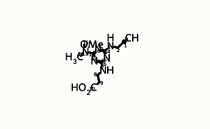 C#CCNc1nc(NCCC(=O)O)nc(N(C)OC)n1